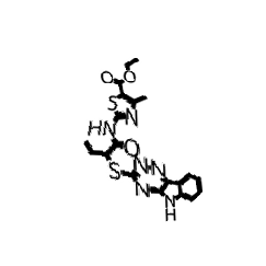 CCOC(=O)c1sc(NC(=O)C(CC)Sc2nnc3c(n2)[nH]c2ccccc23)nc1C